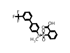 CN(c1ccc(-c2cccc(C(F)(F)F)c2)cc1)S(=O)(=O)c1ccccc1C(=O)O